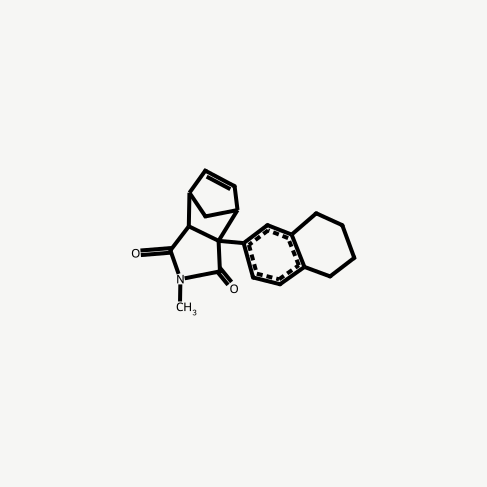 CN1C(=O)C2C3C=CC(C3)C2(c2ccc3c(c2)CCCC3)C1=O